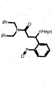 CCCCCCCC(CC(=O)N(CC(C)C)CC(C)C)c1ccccc1P=O